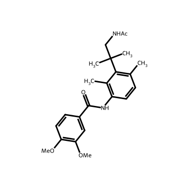 COc1ccc(C(=O)Nc2ccc(C)c(C(C)(C)CNC(C)=O)c2C)cc1OC